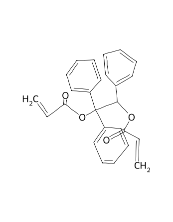 C=CC(=O)OC(c1ccccc1)C(OC(=O)C=C)(c1ccccc1)c1ccccc1